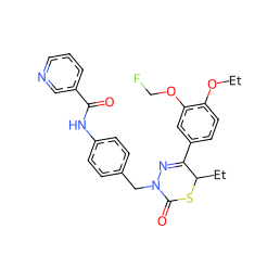 CCOc1ccc(C2=NN(Cc3ccc(NC(=O)c4cccnc4)cc3)C(=O)SC2CC)cc1OCF